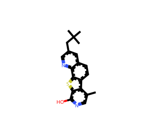 Cc1cnc(O)c2sc3c(ccc4cc(CC(C)(C)C)cnc43)c12